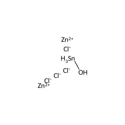 [Cl-].[Cl-].[Cl-].[Cl-].[OH][SnH3].[Zn+2].[Zn+2]